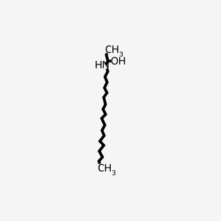 CCCCCCCCCCCCCCCCCCCNC(O)CC